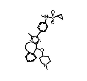 Cc1c(-c2ccc(NS(=O)(=O)C3CC3)cc2)nc2n1CCc1ccccc1C2OC1CCN(C)CC1